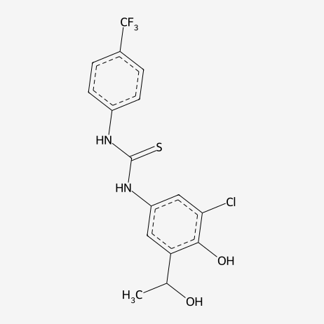 CC(O)c1cc(NC(=S)Nc2ccc(C(F)(F)F)cc2)cc(Cl)c1O